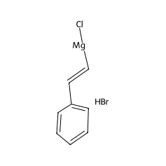 Br.[Cl][Mg][CH]=Cc1ccccc1